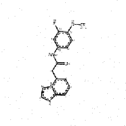 O=C(Cc1cccc2nccn12)Nc1ccc(OC(F)(F)F)c(F)c1